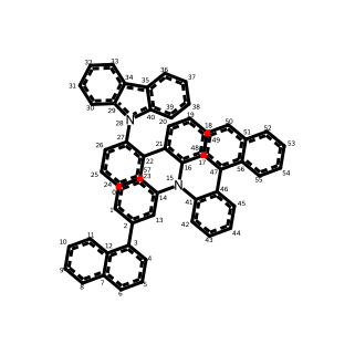 c1cc(-c2cccc3ccccc23)cc(N(c2ccccc2-c2ccccc2-n2c3ccccc3c3ccccc32)c2ccccc2-c2cccc3ccccc23)c1